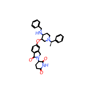 C[C@H](c1ccccc1)N1CCC(NCc2ccccc2)C(Oc2ccc3c(c2)CN(C2CCC(=O)NC2=O)C3=O)C1